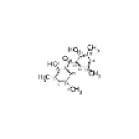 Cc1cc(C)c(O)c(C(=O)c2cc(C)cc(C)c2O)c1